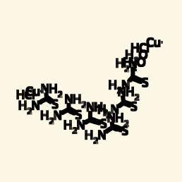 Cl.Cl.NC(N)=S.NC(N)=S.NC(N)=S.NC(N)=S.NC(N)=S.NC(N)=S.O.O.[Cu].[Cu]